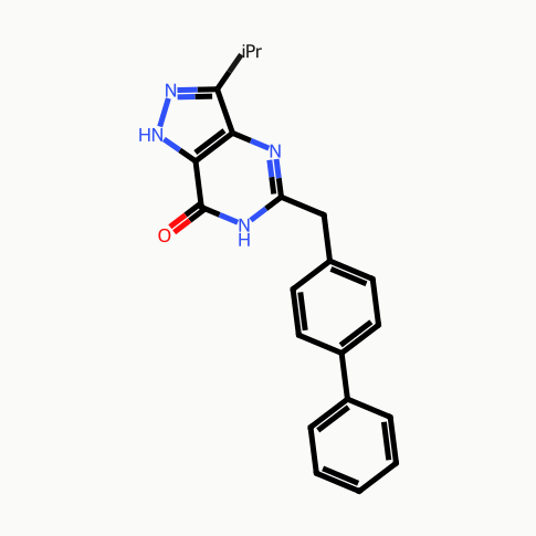 CC(C)c1n[nH]c2c(=O)[nH]c(Cc3ccc(-c4ccccc4)cc3)nc12